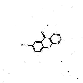 COc1ccc2oc3cnccc3c(=O)c2c1